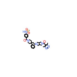 Cc1ncnc(C)c1C(=O)N1CC2CN(CCC3(c4ccccc4)CCN(C(=O)c4ccc(NS(C)(=O)=O)cc4)CC3)CC2C1